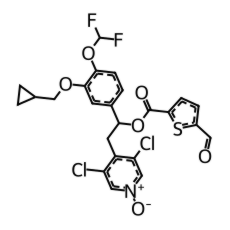 O=Cc1ccc(C(=O)OC(Cc2c(Cl)c[n+]([O-])cc2Cl)c2ccc(OC(F)F)c(OCC3CC3)c2)s1